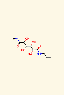 C=NC(=O)C(O)[C@@H](O)[C@@H](O)[C@H](O)C(=O)NCCC